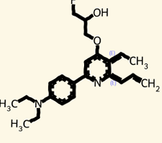 C=C/C=c1/nc(-c2ccc(N(CC)CC)cc2)cc(OCC(O)CF)/c1=C/C